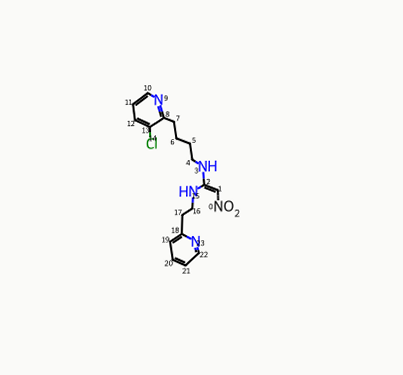 O=[N+]([O-])/C=C(/NCCCCc1ncccc1Cl)NCCc1ccccn1